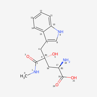 CNC(=O)[C@@](O)(Cc1c[nH]c2ccccc12)C[C@@H](N)C(=O)O